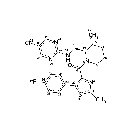 Cc1nc(C(=O)N2CCC[C@@H](C)[C@@H]2CNc2ncc(Cl)cn2)c(-c2ccc(F)cc2)s1